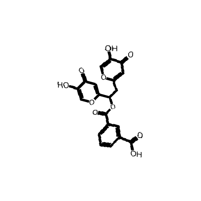 O=C(O)c1cccc(C(=O)OC(Cc2cc(=O)c(O)co2)c2cc(=O)c(O)co2)c1